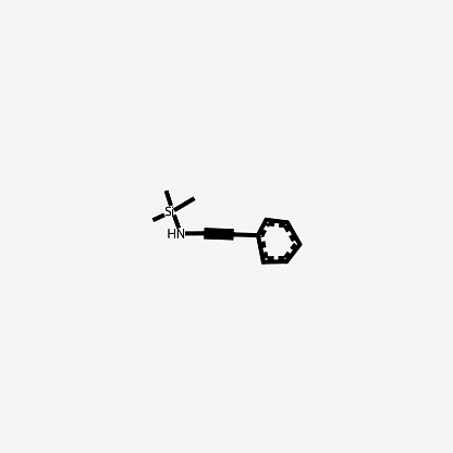 C[Si](C)(C)NC#Cc1ccccc1